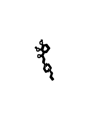 C=CCN1CCN(C=CC(=O)c2cccc(OC)c2OC)CC1